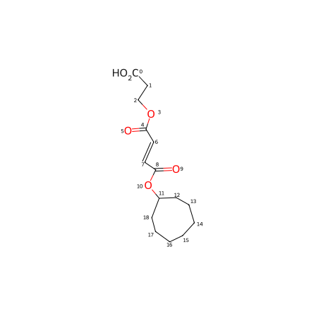 O=C(O)CCOC(=O)/C=C/C(=O)OC1CCCCCCC1